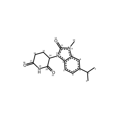 CC(C)c1ccc2c(c1)n(C)c(=O)n2C1CCC(=O)NC1=O